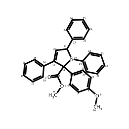 COC(=O)C1(c2ccc(OC)cc2)C(c2ccccc2)=CC(c2ccccc2)N1c1ccccc1